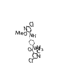 COc1ncc(Cl)cc1NC[C@H]1CC[C@H](NC(=O)c2cc(Cl)cnc2C)CC1